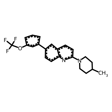 CC1CCN(c2ccc3cc(-c4cccc(OC(F)(F)F)c4)ccc3n2)CC1